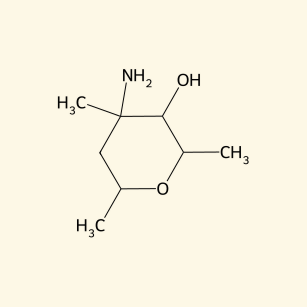 CC1CC(C)(N)C(O)C(C)O1